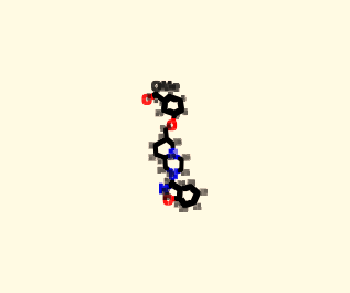 COC(=O)c1cccc(OCC2CCC3CN(c4noc5ccccc45)CCN3C2)c1